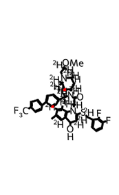 [2H]C1=C(SC([2H])([2H])c2cccc(F)c2F)N(C([2H])([2H])C(=O)N(C([2H])([2H])c2ccc(-c3ccc(C(F)(F)F)cc3)cc2)C2([2H])C([2H])([2H])C([2H])([2H])N(CC([2H])([2H])OC)C([2H])([2H])C2([2H])[2H])c2c([2H])c([2H])c(C)c([2H])c2C1O